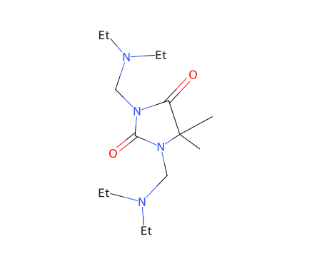 CCN(CC)CN1C(=O)N(CN(CC)CC)C(C)(C)C1=O